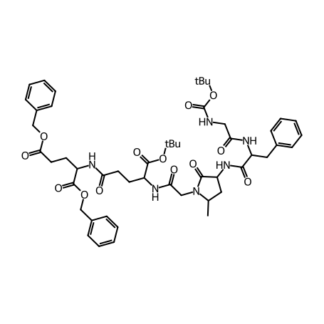 CC1CC(NC(=O)C(Cc2ccccc2)NC(=O)CNC(=O)OC(C)(C)C)C(=O)N1CC(=O)NC(CCC(=O)NC(CCC(=O)OCc1ccccc1)C(=O)OCc1ccccc1)C(=O)OC(C)(C)C